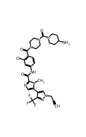 C#CCn1cc(-c2cnc(C(=O)Nc3ccc(C(=O)N4CCN(C(=O)N5CCC(N)CC5)CC4)c(Cl)c3)n2C)c(C(F)(F)F)n1